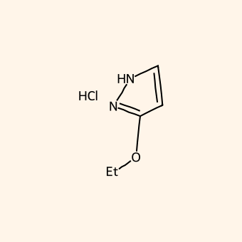 CCOc1cc[nH]n1.Cl